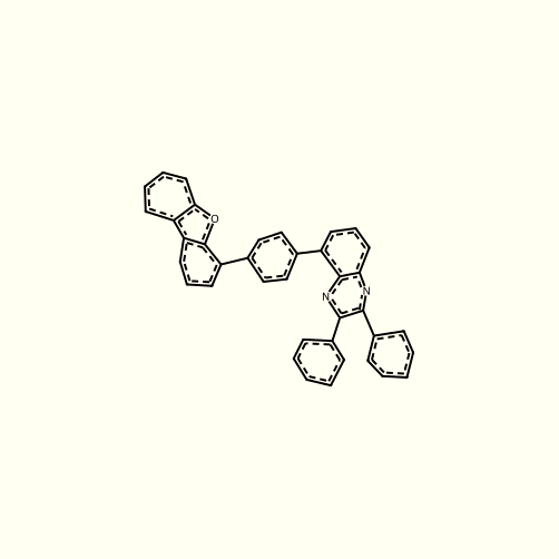 c1ccc(-c2nc3cccc(-c4ccc(-c5cccc6c5oc5ccccc56)cc4)c3nc2-c2ccccc2)cc1